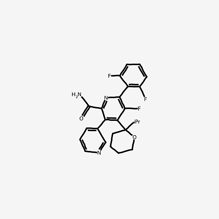 CC(C)C1(c2c(F)c(-c3c(F)cccc3F)nc(C(N)=O)c2-c2cccnc2)CCCCO1